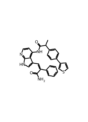 CC(C(=O)Nc1ccnc2[nH]cc(C=C(C(N)=O)c3ccccc3)c12)c1ccc(-c2ccsc2)cc1